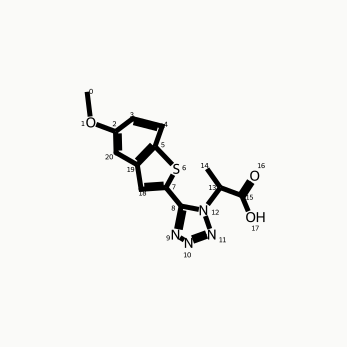 COc1ccc2sc(-c3nnnn3C(C)C(=O)O)cc2c1